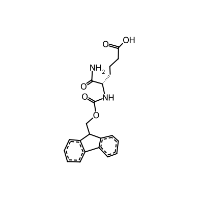 NC(=O)[C@H](CCCC(=O)O)NC(=O)OCC1c2ccccc2-c2ccccc21